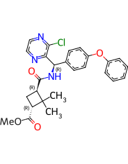 COC(=O)[C@@H]1C[C@@H](C(=O)N[C@H](c2ccc(Oc3ccccc3)cc2)c2nccnc2Cl)C1(C)C